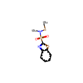 CC(C)(C)SN(C(C)(C)C)S(=O)(=O)c1nc2ccccc2s1